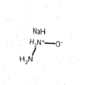 N[NH2+][O-].[NaH]